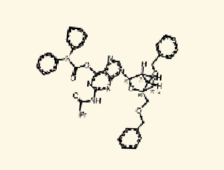 CC(C)C(=O)Nc1nc(OC(=O)N(c2ccccc2)c2ccccc2)c2ncn([C@@H]3O[C@@]4(COCc5ccccc5)[C@@H](C)N[C@@H]3[C@@H]4OCc3ccccc3)c2n1